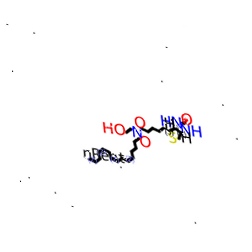 CCCCC/C=C\C/C=C\C/C=C\C/C=C\CCCC(=O)N(CCO)C(=O)CCCC[C@@H]1SC[C@@H]2NC(=O)N[C@@H]21